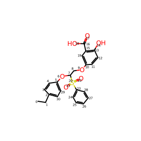 CCc1ccc(OC(COc2ccc(O)c(C(=O)O)c2)S(=O)(=O)c2ccccc2)cc1